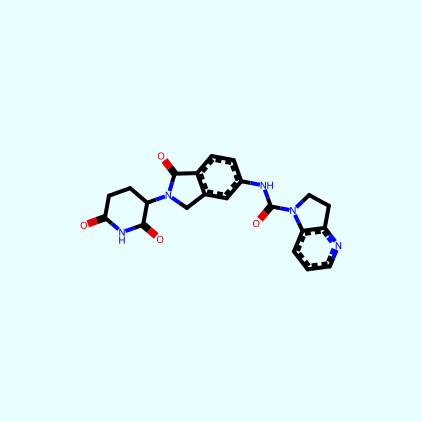 O=C1CCC(N2Cc3cc(NC(=O)N4CCc5ncccc54)ccc3C2=O)C(=O)N1